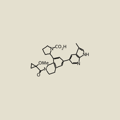 COC1(C(=O)N2CCc3cc(-c4cnc5[nH]cc(C)c5c4)cc(C4CCCN4C(=O)O)c3C2)CC1